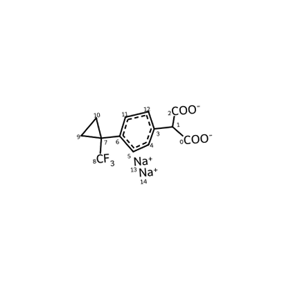 O=C([O-])C(C(=O)[O-])c1ccc(C2(C(F)(F)F)CC2)cc1.[Na+].[Na+]